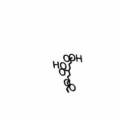 C=CC(=O)OCCCC(CCCC(=O)O)C(=O)O